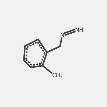 Cc1ccccc1CN=N